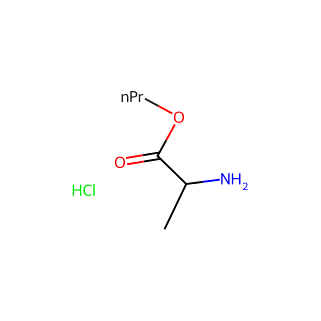 CCCOC(=O)C(C)N.Cl